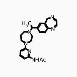 CC(=O)Nc1cccc(N2CCCN(C(C)c3ccc4c(c3)CN=CC=N4)CC2)n1